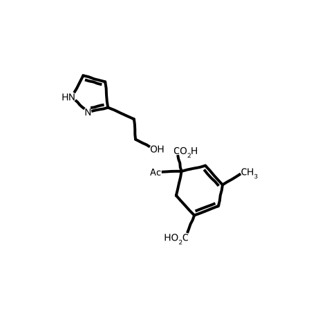 CC(=O)C1(C(=O)O)C=C(C)C=C(C(=O)O)C1.OCCc1cc[nH]n1